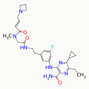 CCc1nc(C(N)=O)c(Nc2cc(F)cc(CCNC(=O)CN(C)C(=O)/C=C/CN3CCC3)c2)nc1C1CC1